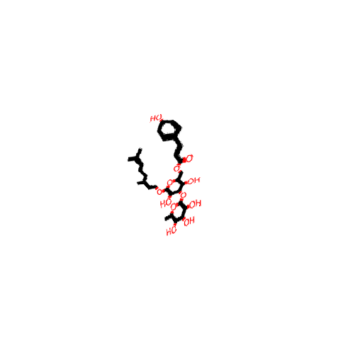 CC(C)=CCCC(C)=CCOC1OC(COC(=O)C=Cc2ccc(O)cc2)C(O)C(OC2OC(C)C(O)C(O)C2O)C1O